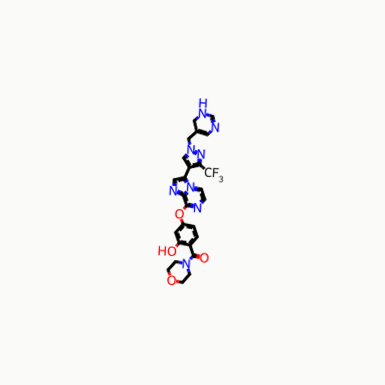 O=C(c1ccc(Oc2nccn3c(-c4cn(CC5=CN=CNC5)nc4C(F)(F)F)cnc23)cc1O)N1CCOCC1